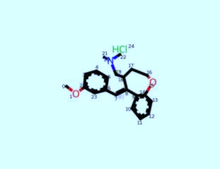 COc1cccc(/C=C2/c3ccccc3OCCC2CN(C)C)c1.Cl